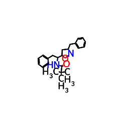 CC(C)(C)C(=O)NC(Cc1ccccc1)C1CC(Cc2ccccc2)=NO1